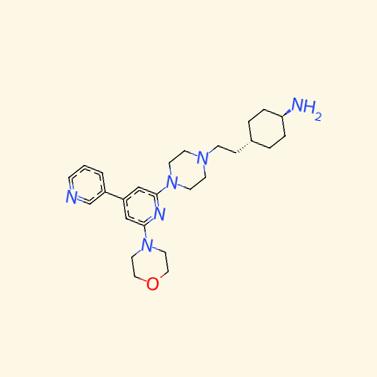 N[C@H]1CC[C@H](CCN2CCN(c3cc(-c4cccnc4)cc(N4CCOCC4)n3)CC2)CC1